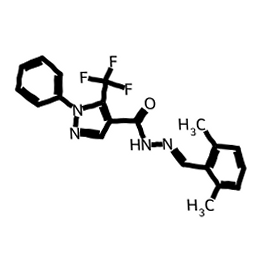 Cc1cccc(C)c1C=NNC(=O)c1cnn(-c2ccccc2)c1C(F)(F)F